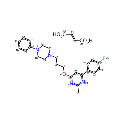 Cc1nc(OCCCN2CCN(c3ccccc3)CC2)cc(-c2ccc(F)cc2)n1.O=C(O)C=CC(=O)O